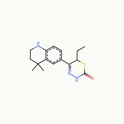 CCC1SC(=O)NN=C1c1ccc2c(c1)C(C)(C)CCN2